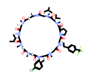 CCC(C)[C@@H]1NC(=O)[C@H](C)N(C)C(=O)C[C@@H](C)NC(=O)[C@H](CC(C)C)N(C)C(=O)[C@H](C(C)C)N(C)C(=O)[C@@H]2CCCN2C(=O)[C@H](CCc2ccc(C(F)(F)F)cc2)NC(=O)CN(C)C(=O)[C@H](Cc2ccc(Cl)cc2)N(C)C(=O)CN(C)C(=O)CN(C)C1=O